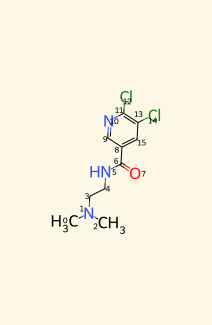 CN(C)CCNC(=O)c1cnc(Cl)c(Cl)c1